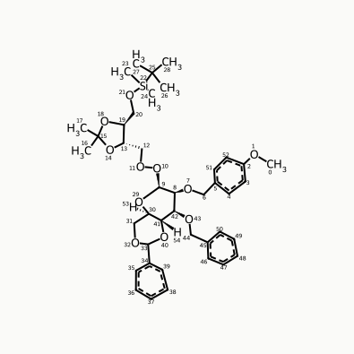 COc1ccc(CO[C@@H]2[C@H](OOC[C@@H]3OC(C)(C)O[C@H]3CO[Si](C)(C)C(C)(C)C)O[C@@H]3COC(c4ccccc4)O[C@H]3[C@@H]2OCc2ccccc2)cc1